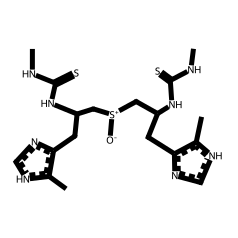 CNC(=S)NC(Cc1nc[nH]c1C)C[S+]([O-])CC(Cc1nc[nH]c1C)NC(=S)NC